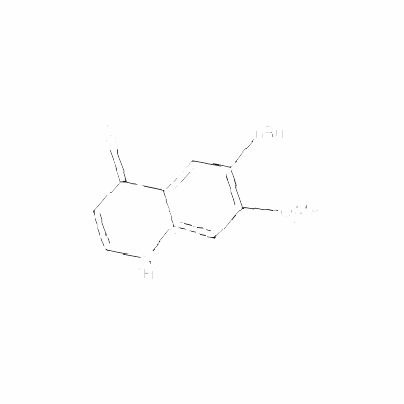 CCCCc1cc2c(=O)cc[nH]c2cc1OC